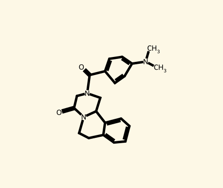 CN(C)c1ccc(C(=O)N2CC(=O)N3CCc4ccccc4C3C2)cc1